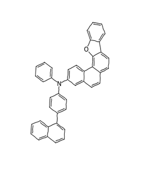 c1ccc(N(c2ccc(-c3cccc4ccccc34)cc2)c2ccc3c(ccc4ccc5c6ccccc6oc5c43)c2)cc1